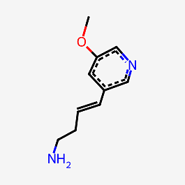 COc1cncc(C=CCCN)c1